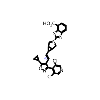 O=C(O)c1cccc2nc(N3CC4C(/C=C/c5c(-c6c(Cl)cncc6Cl)noc5C5CC5)C4C3)sc12